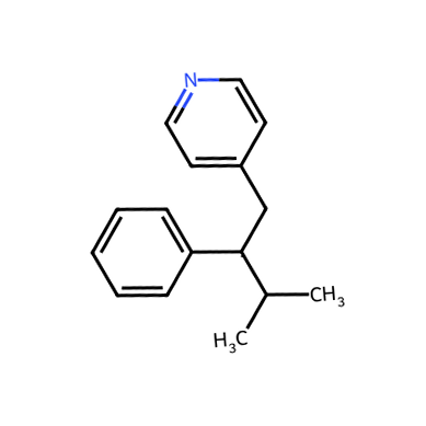 CC(C)[C](Cc1ccncc1)c1ccccc1